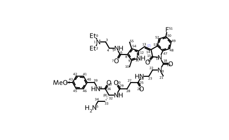 CCN(CC)CCNC(=O)c1c(C)[nH]c(/C=C2\C(=O)N(C(=O)N(C)CCNC(=O)CCC(=O)N[C@H](CCN)C(=O)NCc3ccc(OC)cc3)c3ccc(F)cc32)c1C